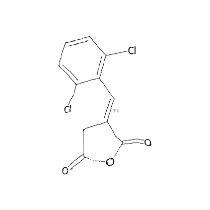 O=C1C/C(=C\c2c(Cl)cccc2Cl)C(=O)O1